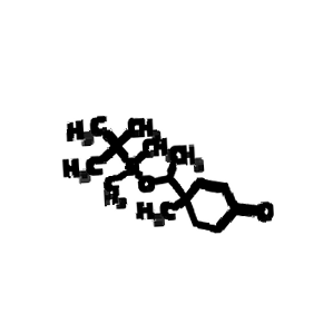 CC(O[Si](C)(C)C(C)(C)C)C1(C)C=CC(=O)CC1